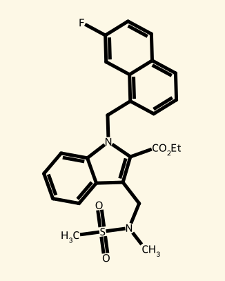 CCOC(=O)c1c(CN(C)S(C)(=O)=O)c2ccccc2n1Cc1cccc2ccc(F)cc12